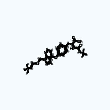 CC(C)(C)OC(=O)N[C@@H](Cc1ccc(Oc2ccnc3c2ccn3COCCS(C)(C)C)cc1)C(=O)O